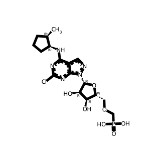 C[C@@H]1CCC[C@@H]1Nc1nc(Cl)nc2c1cnn2[C@@H]1O[C@H](COCP(=O)(O)O)[C@@H](O)[C@H]1O